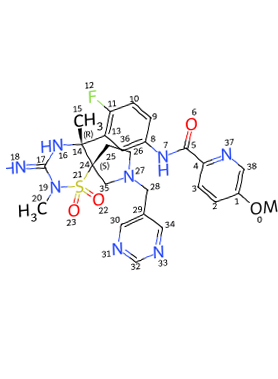 COc1ccc(C(=O)Nc2ccc(F)c([C@@]3(C)NC(=N)N(C)S(=O)(=O)[C@]34CCN(Cc3cncnc3)C4)c2)nc1